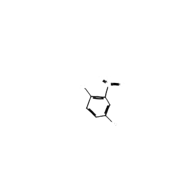 O=[SH](=O)c1cc(Br)ccc1Cl